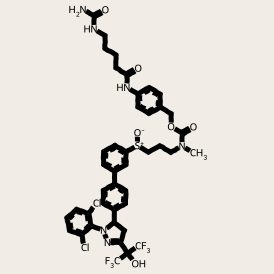 CN(CCC[S+]([O-])c1cccc(-c2ccc(C3CC(C(O)(C(F)(F)F)C(F)(F)F)=NN3c3c(Cl)cccc3Cl)cc2)c1)C(=O)OCc1ccc(NC(=O)CCCCNC(N)=O)cc1